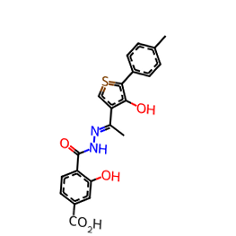 C/C(=N\NC(=O)c1ccc(C(=O)O)cc1O)c1csc(-c2ccc(C)cc2)c1O